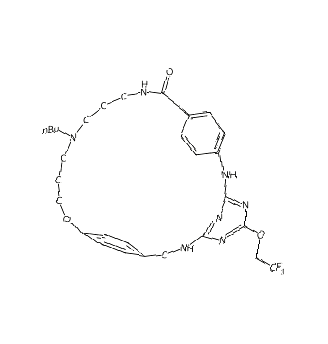 CCCCN1CCCNC(=O)c2ccc(cc2)Nc2nc(nc(OCC(F)(F)F)n2)NCc2ccc(cc2)OCCC1